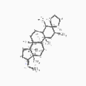 CC1C[C@@]2(C)C(CC[C@@H]3[C@@H]2CC[C@]2(C)/C(=N\N)CC[C@@H]32)C(C)C12OCCO2